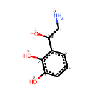 NC[C@H](O)c1cccc(O)c1O